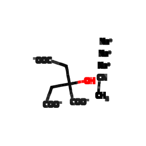 CC#N.O=C([O-])CC(O)(CC(=O)[O-])C(=O)[O-].[Na+].[Na+].[Na+]